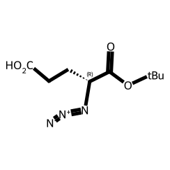 CC(C)(C)OC(=O)[C@@H](CCC(=O)O)N=[N+]=[N-]